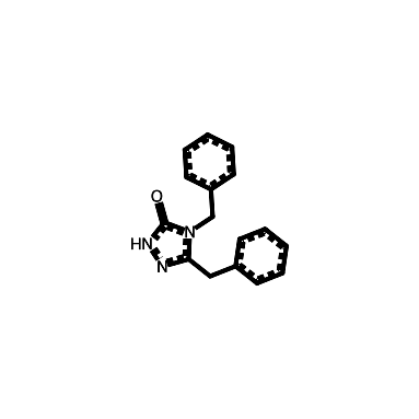 O=c1[nH]nc(Cc2ccccc2)n1Cc1ccccc1